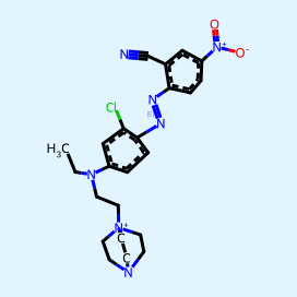 CCN(CC[N+]12CCN(CC1)CC2)c1ccc(/N=N/c2ccc([N+](=O)[O-])cc2C#N)c(Cl)c1